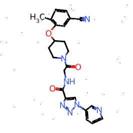 Cc1ccc(C#N)cc1OC1CCN(C(=O)CNC(=O)c2cn(-c3cccnc3)nn2)CC1